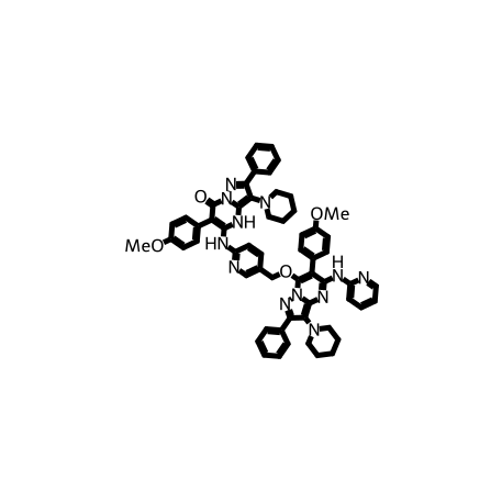 COc1ccc(-c2c(Nc3ccccn3)nc3c(N4CCCCC4)c(-c4ccccc4)nn3c2OCc2ccc(Nc3[nH]c4c(N5CCCCC5)c(-c5ccccc5)nn4c(=O)c3-c3ccc(OC)cc3)nc2)cc1